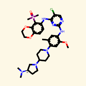 COc1cc(N2CCC(N3CC[C@@H](N(C)C)C3)CC2)c(C)cc1Nc1ncc(Cl)c(Nc2ccc3c(c2P(C)(C)=O)OCCO3)n1